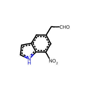 O=CCc1cc([N+](=O)[O-])c2[nH]ccc2c1